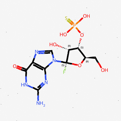 Nc1nc2c(ncn2[C@]2(F)O[C@H](CO)[C@@H](OP(O)(O)=S)[C@H]2O)c(=O)[nH]1